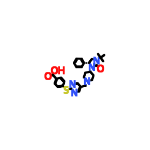 CC(C)(C)N1C[C@@H](c2ccccc2)N(C2CCN(Cc3cnc(Sc4ccc(C(=O)O)cc4)nc3)CC2)C1=O